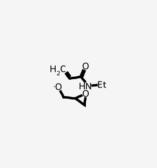 C=CC(=O)NCC.[O]CC1CO1